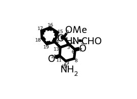 COC(=O)[C@@]1(NC=O)C(=O)C[C@H](N)C(=O)C1c1ccccc1